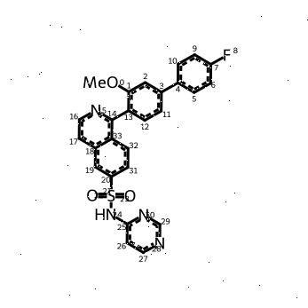 COc1cc(-c2ccc(F)cc2)ccc1-c1nccc2cc(S(=O)(=O)Nc3ccncn3)ccc12